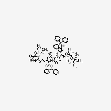 COC(Cn1c(S/C=C/C2=C(C(=O)OC(c3ccccc3)c3ccccc3)N3C(=O)C(NC(=O)/C(=N/OC(C)(C)C(=O)OC(C)(C)C)c4csc(NC(c5ccccc5)(c5ccccc5)c5ccccc5)n4)C3[S+]([O-])C2)n[nH]c(=O)c1=O)OC